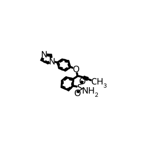 CC#CC(Oc1ccc(-n2ccnc2)cc1)c1ccccc1S(N)(=O)=O